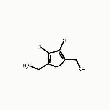 CCc1oc(CO)c(Cl)c1Cl